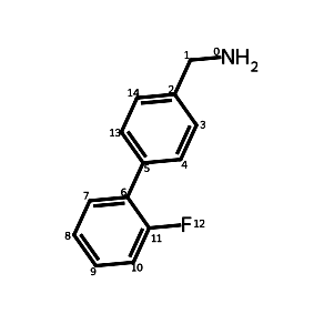 NCc1ccc(-c2ccccc2F)cc1